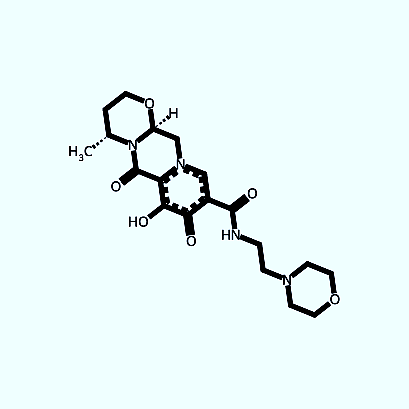 C[C@@H]1CCO[C@H]2Cn3cc(C(=O)NCCN4CCOCC4)c(=O)c(O)c3C(=O)N12